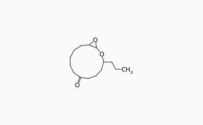 CCCC1CCCC(=O)CCCCCC2OC2O1